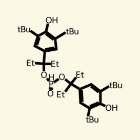 CCC(CC)(O[PH](=O)OC(CC)(CC)c1cc(C(C)(C)C)c(O)c(C(C)(C)C)c1)c1cc(C(C)(C)C)c(O)c(C(C)(C)C)c1